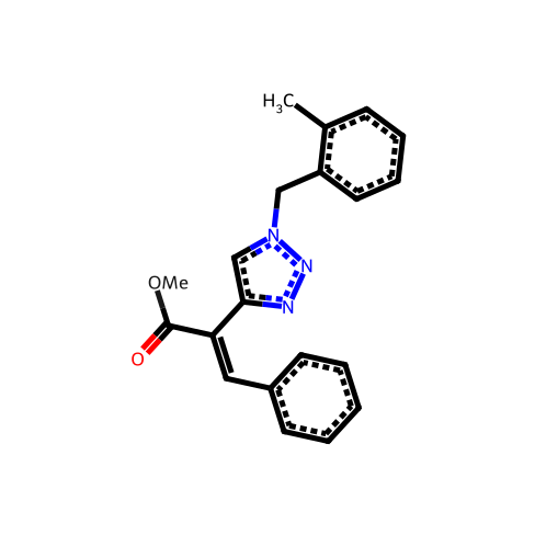 COC(=O)C(=Cc1ccccc1)c1cn(Cc2ccccc2C)nn1